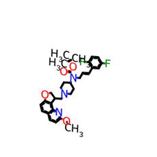 COc1ccc2ccc3c(c2n1)C(CN1CCC(N(CC=Cc2cc(F)ccc2F)C(=O)OC(C)(C)C)CC1)CO3